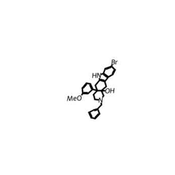 COc1cccc(C23CCN(Cc4ccccc4)CC2(O)Cc2c([nH]c4cc(Br)ccc24)C3)c1